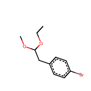 CCOC(Cc1ccc(Br)cc1)OC